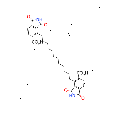 O=C(O)c1ccc2c(c1CCCCCCCCCCCCc1c(C(=O)O)ccc3c1C(=O)NC3=O)C(=O)NC2=O